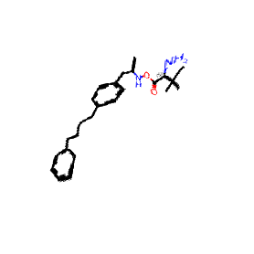 C=C(Cc1ccc(CCCCc2ccccc2)cc1)NOC(=O)[C@@H](N)C(C)(C)C